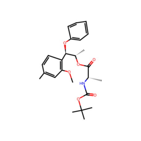 COc1cc(C)ccc1[C@@H](Oc1ccccc1)[C@H](C)OC(=O)[C@H](C)NC(=O)OC(C)(C)C